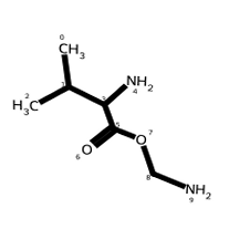 CC(C)C(N)C(=O)OCN